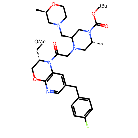 COC[C@H]1COc2ncc(Cc3ccc(F)cc3)cc2N1C(=O)CN1C[C@@H](C)N(C(=O)OC(C)(C)C)C[C@@H]1CN1CCO[C@H](C)C1